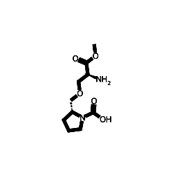 COC(=O)[C@@H](N)COC[C@H]1CCCN1C(=O)O